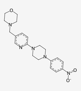 O=[N+]([O-])c1ccc(N2CCN(c3ccc(CN4CCOCC4)cn3)CC2)cc1